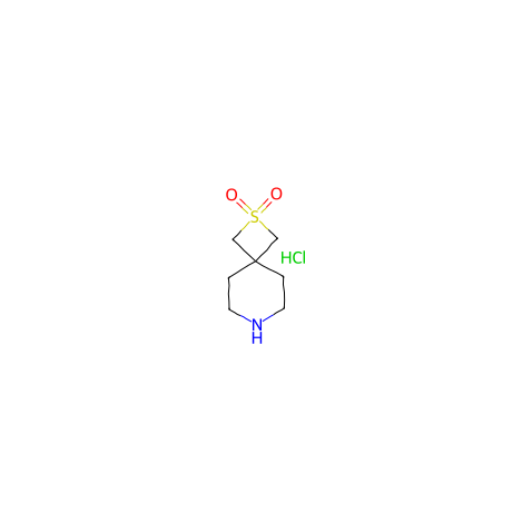 Cl.O=S1(=O)CC2(CCNCC2)C1